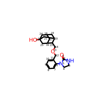 O=C1NCCN1c1ccccc1COCC1C2CC3CC1CC(O)(C3)C2